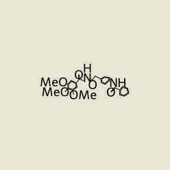 COc1cc(C(=O)CNC(=O)Cc2ccc(NC(=O)c3ccccc3)cc2)cc(OC)c1OC